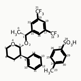 C[C@@H](O[C@H]1OCCC[C@@H]1c1ccccc1)c1cc(C(F)(F)F)cc(C(F)(F)F)c1.Cc1ccc(S(=O)(=O)O)cc1